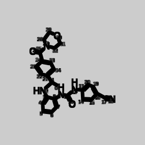 CC(Nc1ccccc1NC(=O)Nc1ccc(C#N)cc1)c1ccc(C(=O)N2CCOCC2)cc1